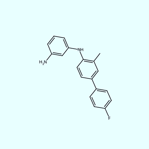 Cc1cc(-c2ccc(F)cc2)ccc1Nc1cccc(N)c1